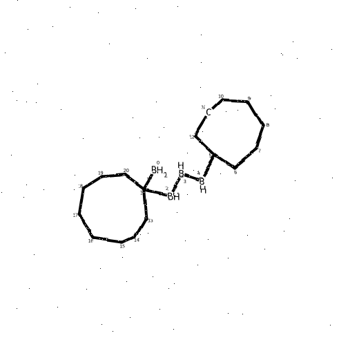 BC1(BBBC2CCCCCCC2)CCCCCCCC1